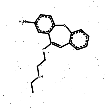 CCNCCSC1=Cc2ccccc2Sc2ccc(N)cc21